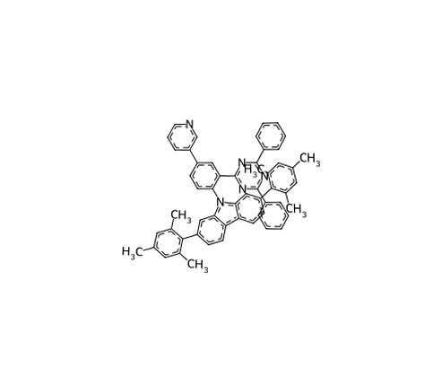 Cc1cc(C)c(-c2ccc3c4ccc(-c5c(C)cc(C)cc5C)cc4n(-c4ccc(-c5cccnc5)cc4-c4nc(-c5ccccc5)nc(-c5ccccc5)n4)c3c2)c(C)c1